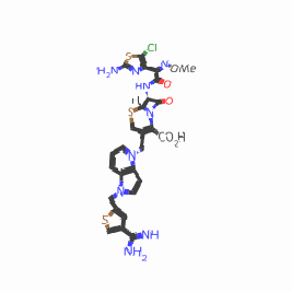 CO/N=C(\C(=O)N[C@@H]1C(=O)N2C(C(=O)O)=C(C[n+]3cccc4c3ccn4Cc3cc(C(=N)N)cs3)CS[C@H]12)c1nc(N)sc1Cl